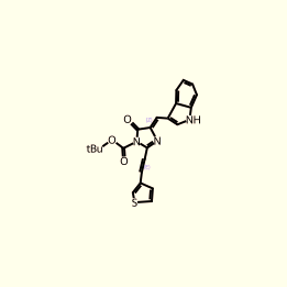 CC(C)(C)OC(=O)N1C(=O)/C(=C/c2c[nH]c3ccccc23)N=C1/C=C/c1ccsc1